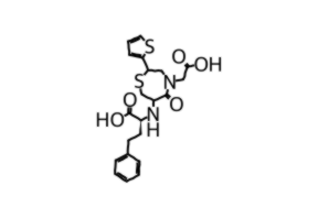 O=C(O)CN1CC(c2cccs2)SCC(N[C@@H](CCc2ccccc2)C(=O)O)C1=O